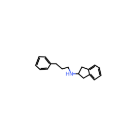 c1ccc(CCCNC2Cc3ccccc3C2)cc1